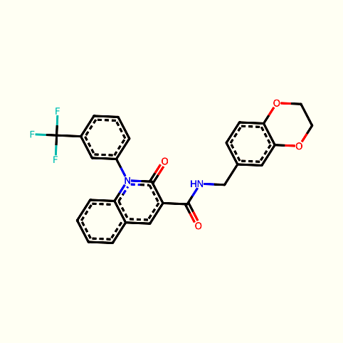 O=C(NCc1ccc2c(c1)OCCO2)c1cc2ccccc2n(-c2cccc(C(F)(F)F)c2)c1=O